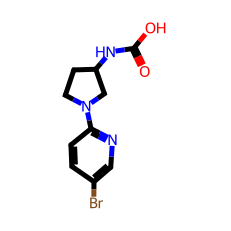 O=C(O)NC1CCN(c2ccc(Br)cn2)C1